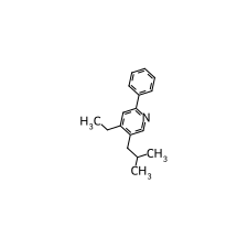 CCc1cc(-c2ccccc2)ncc1CC(C)C